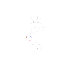 CON(C)C(=O)[C@H](Cc1cn(C(c2ccccc2)(c2ccccc2)c2ccccc2)cn1)NC(=O)c1cc2ccccc2s1